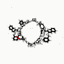 CC(C)[C@H]1C(=O)NC[C@@H](NC(=O)c2nc3ccccc3cc2OCc2ccccc2)C(=O)N2CCCC[C@H]2C(=O)NCC(=O)N(C)CC(=O)N(C)[C@@H](c2ccccc2)C(=O)NC[C@@H](NC(=O)c2nc3ccccc3cc2OCc2ccccc2)C(=O)N2CCCC[C@H]2C(=O)NCC(=O)N(C)CC(=O)N1C